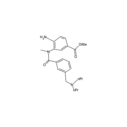 CCCN(CCC)Cc1cccc(C(=O)N(C)c2cc(C(=O)OC)ccc2N)c1